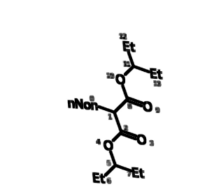 CCCCCCCCCC(C(=O)OC(CC)CC)C(=O)OC(CC)CC